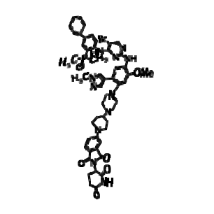 COc1cc(N2CCN(C3CCN(c4ccc5c(c4)C(=O)N(C4CCC(=O)NC4=O)C5=O)CC3)CC2)c(-c2cnn(C)c2)cc1Nc1ncc(Br)c(Nc2ccc(-c3ccccc3)cc2P(C)(C)=O)n1